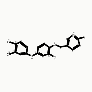 Cc1ccc(COc2ccc(Oc3ccc(Cl)c(Cl)c3)cc2Cl)cn1